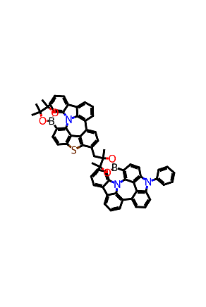 CC1(C)OB(c2ccc3sc4c(CC5(C)OB(c6ccc7c8c9c(cccc9n7-c7ccccc7)c7cccc9c%10ccccc%10n(c68)c79)OC5(C)C)ccc5c6cccc7c8ccccc8n(c2c3c45)c67)OC1(C)C